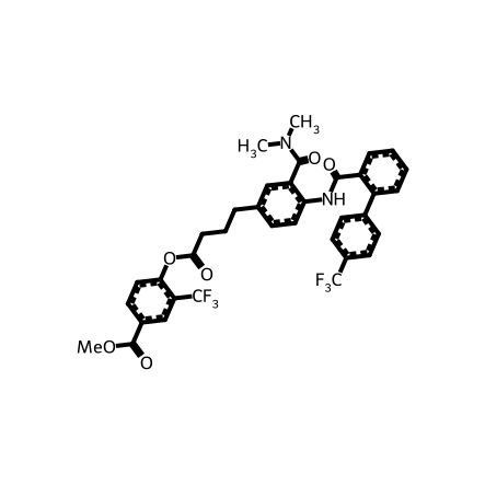 COC(=O)c1ccc(OC(=O)CCCc2ccc(NC(=O)c3ccccc3-c3ccc(C(F)(F)F)cc3)c(C(=O)N(C)C)c2)c(C(F)(F)F)c1